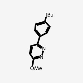 COc1ccc(-c2ccc(C(C)(C)C)cc2)nn1